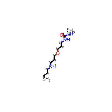 CCCCNCCCOCCCNC(=O)NC